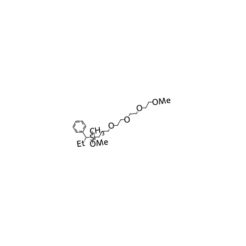 CCC(c1ccccc1)[Si](C)(CCCOCCOCCOCCOC)OC